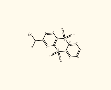 CC(C#N)c1ccc2c(c1)S(=O)(=O)c1ccccc1S2(=O)=O